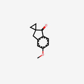 COc1ccc2c(c1)CC1(CC1)C2=O